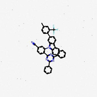 Cc1ccc(-c2ccc3c4ccccc4n(-c4cc(C#N)ccc4-c4nc(-c5ccccc5)nc(-c5ccccc5)n4)c3c2)c(C(F)(F)F)c1